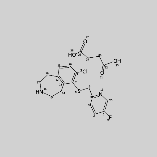 Fc1ccc(CSc2c(Cl)ccc3c2CCNCC3)nc1.O=C(O)CCC(=O)O